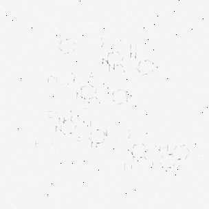 CCOC(=O)c1nn(CC)c(=O)c(Nc2cnccc2C)c1C(C)=O.CCn1nc(C(=O)OC(C)C)c(C(C)=O)c(Nc2cccnc2)c1=O.CCn1nc(C(=O)OC(C)C)c(C(C)=O)c(Nc2cncc3ccccc23)c1=O.CCn1nc(C(=O)OCc2ccccc2)c(C(C)=O)c(Nc2cccnc2)c1=O